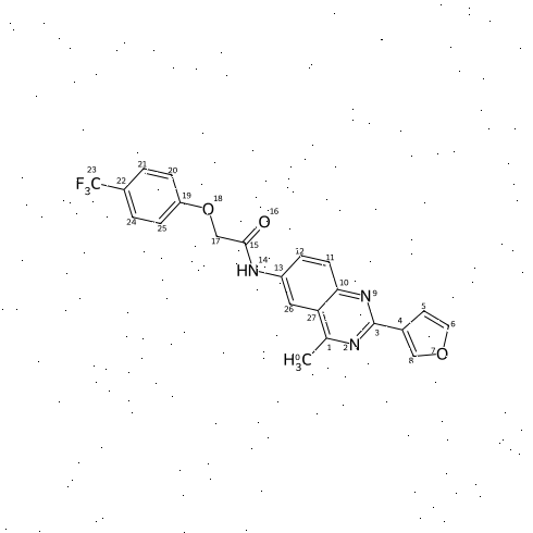 Cc1nc(-c2ccoc2)nc2ccc(NC(=O)COc3ccc(C(F)(F)F)cc3)cc12